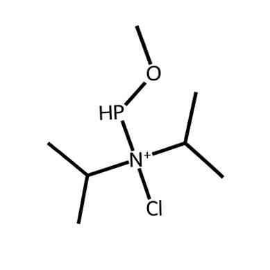 COP[N+](Cl)(C(C)C)C(C)C